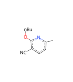 CCCCOc1nc(C)ccc1C#N